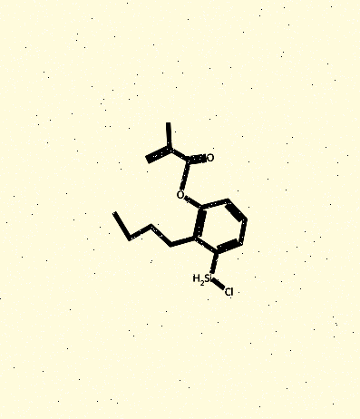 C=C(C)C(=O)Oc1cccc([SiH2]Cl)c1CCCC